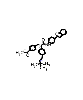 COC(=O)c1ccc(C[C@@H](C(=O)Nc2ccc(-c3cc4ccccc4o3)cc2)c2ccc(/C=C/C(C)(C)C)cc2)cc1